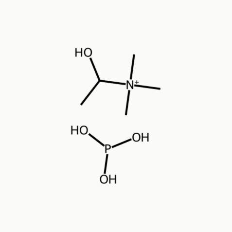 CC(O)[N+](C)(C)C.OP(O)O